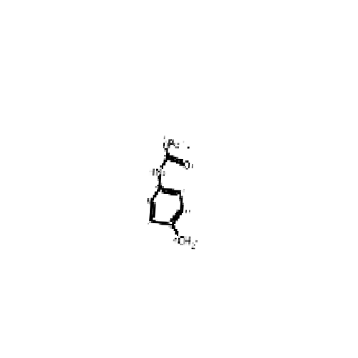 [CH2]c1ccc(NC(=O)CCCCC)cc1